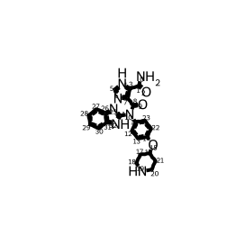 NC(=O)c1[nH]cnc1C(=O)N(c1ccc(OC2CCNCC2)cc1)c1nc2ccccc2[nH]1